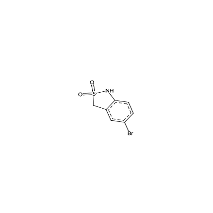 O=S1(=O)Cc2cc(Br)ccc2N1